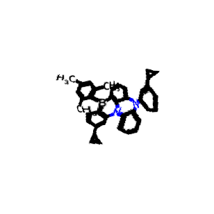 Cc1cc(C)c(B2c3ccc(C4CC4)cc3N3c4ccccc4N(c4cccc(C5CC5)c4)c4cccc2c43)c(C)c1